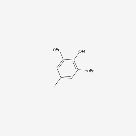 CCCc1cc(C)cc(CCC)c1O